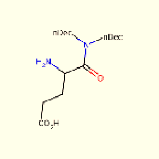 CCCCCCCCCCN(CCCCCCCCCC)C(=O)C(N)CCC(=O)O